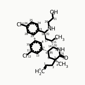 C=CC[C@@]1(C)C[C@H](c2cccc(Cl)c2)[C@H](C(C)C[C@H](NCCO)c2ccc(Cl)cc2)NC1=O